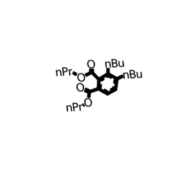 CCCCc1ccc(C(=O)OCCC)c(C(=O)OCCC)c1CCCC